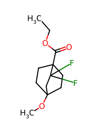 CCOC(=O)C12CCC(OC)(CC1)CC2(F)F